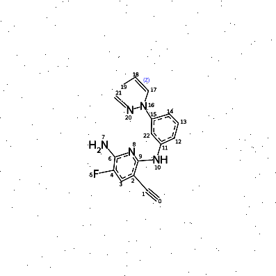 C#Cc1cc(F)c(N)nc1Nc1cccc(N(/C=C\C)N=C)c1